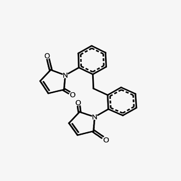 O=C1C=CC(=O)N1c1ccccc1Cc1ccccc1N1C(=O)C=CC1=O